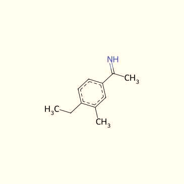 CCc1ccc(C(C)=N)cc1C